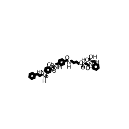 O=C(NCCCCO[PH](=O)CC(=O)N1[C@@H]2CCCC[C@@H]2C[C@H]1C(=O)O)c1ccc(CNS(=O)(=O)c2cc3c(cc2Cl)NC(CCc2ccccc2)NS3)cc1